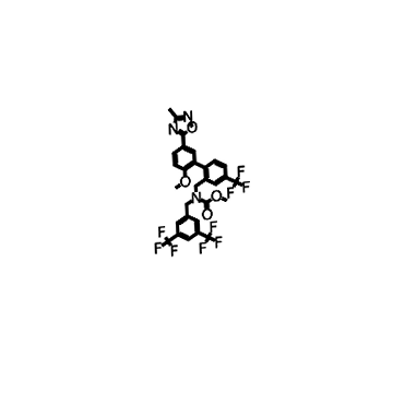 COC(=O)N(Cc1cc(C(F)(F)F)cc(C(F)(F)F)c1)Cc1cc(C(F)(F)F)ccc1-c1cc(-c2nc(C)no2)ccc1OC